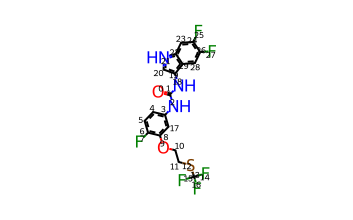 O=C(Nc1ccc(F)c(OCCSC(F)(F)F)c1)Nc1c[nH]c2cc(F)c(F)cc12